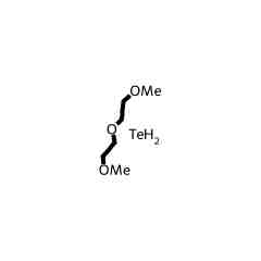 COCCOCCOC.[TeH2]